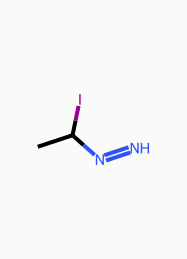 CC(I)N=N